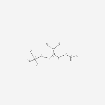 CNCCN(CCC(C)(C)C)C(C)C